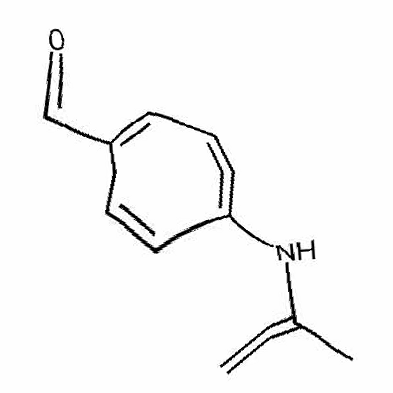 C=C(C)Nc1ccc(C=O)cc1